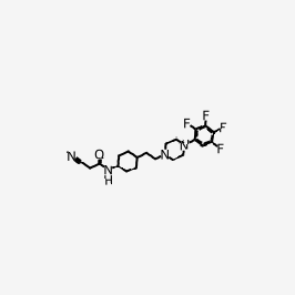 N#CCC(=O)NC1CCC(CCN2CCN(c3cc(F)c(F)c(F)c3F)CC2)CC1